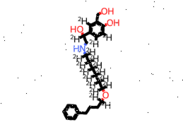 [2H]c1c([2H])c(C([2H])(O)CNC([2H])([2H])C([2H])([2H])C([2H])([2H])C([2H])([2H])C([2H])([2H])C([2H])([2H])OC([2H])([2H])CCCc2ccccc2)c([2H])c(CO)c1O